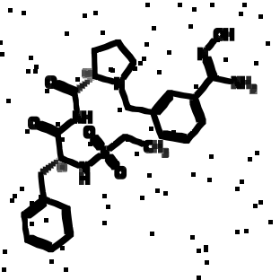 CCS(=O)(=O)N[C@H](Cc1ccccc1)C(=O)NC(=O)[C@@H]1CCCN1Cc1cccc(C(N)=NO)c1